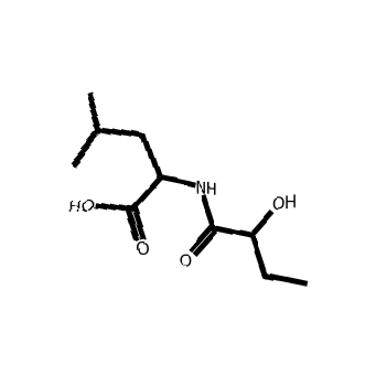 CCC(O)C(=O)NC(CC(C)C)C(=O)O